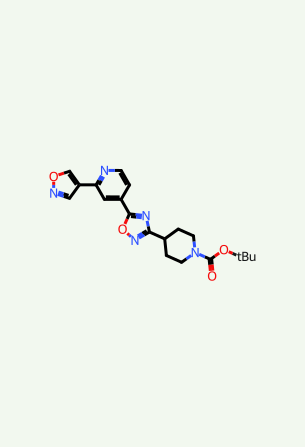 CC(C)(C)OC(=O)N1CCC(c2noc(-c3ccnc(-c4cnoc4)c3)n2)CC1